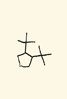 CC(C)(C)C1CSCC1C(C)(C)C